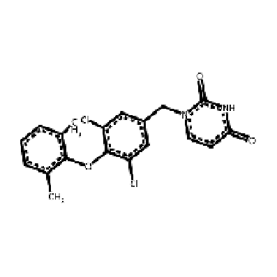 Cc1cccc(C)c1Oc1c(Cl)cc(Cn2ccc(=O)[nH]c2=O)cc1Cl